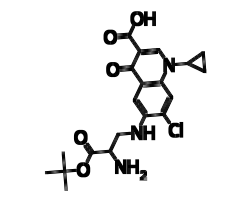 CC(C)(C)OC(=O)C(N)CNc1cc2c(=O)c(C(=O)O)cn(C3CC3)c2cc1Cl